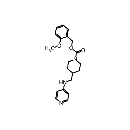 COc1ccccc1COC(=O)N1CCC(CNc2ccncc2)CC1